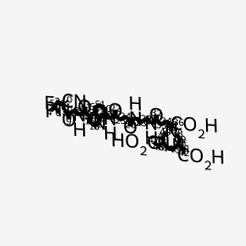 N#C[C@@H]1CC(F)(F)CN1C(=O)CNC(=O)c1ccnc2c(NC(=O)CCC(=O)NCCNC(=O)CC[C@@H](C(=O)O)N3CCN(CC(=O)O)CCN(CC(=O)O)CC3)cccc12